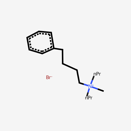 CCC[N+](C)(CCC)CCCCc1ccccc1.[Br-]